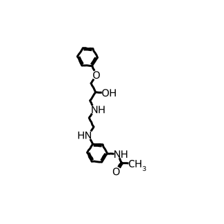 CC(=O)Nc1cccc(NCCNCC(O)COc2ccccc2)c1